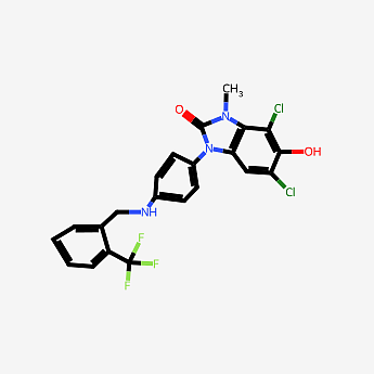 Cn1c(=O)n(-c2ccc(NCc3ccccc3C(F)(F)F)cc2)c2cc(Cl)c(O)c(Cl)c21